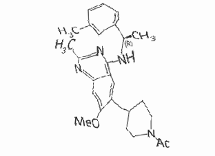 COc1cc2nc(C)nc(N[C@H](C)c3cccc(C)c3)c2cc1C1CCN(C(C)=O)CC1